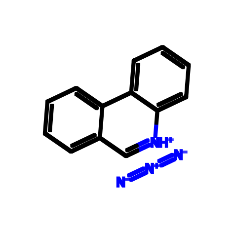 [N-]=[N+]=[N-].c1ccc2c(c1)c[nH+]c1ccccc12